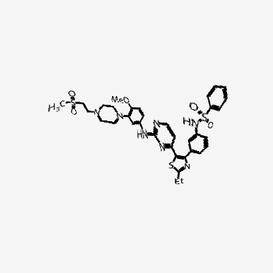 CCc1nc(-c2cccc(NS(=O)(=O)c3ccccc3)c2)c(-c2ccnc(Nc3ccc(OC)c(N4CCN(CCS(C)(=O)=O)CC4)c3)n2)s1